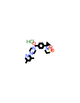 Cc1cnc(N2CCN(C(=O)c3ccc(C4(N5CCCS5(=O)=O)CC4)cc3)CC2)c(C)c1.Cl